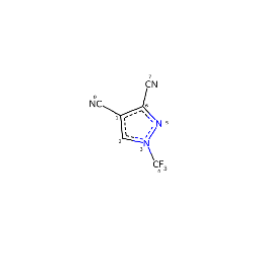 N#Cc1cn(C(F)(F)F)nc1C#N